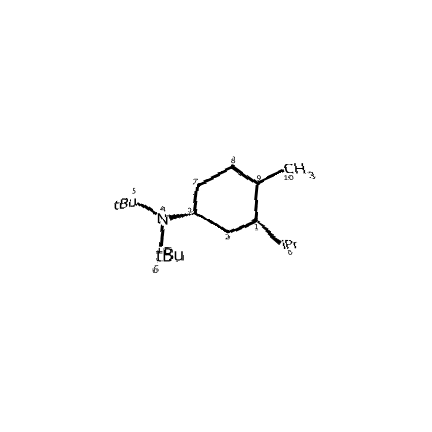 CC(C)[C@H]1C[C@@H](N(C(C)(C)C)C(C)(C)C)CCC1C